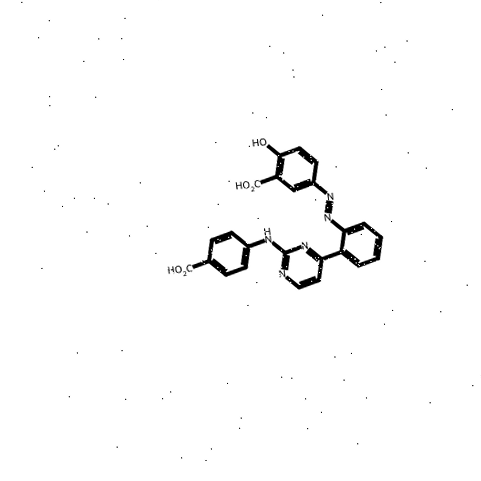 O=C(O)c1ccc(Nc2nccc(-c3ccccc3N=Nc3ccc(O)c(C(=O)O)c3)n2)cc1